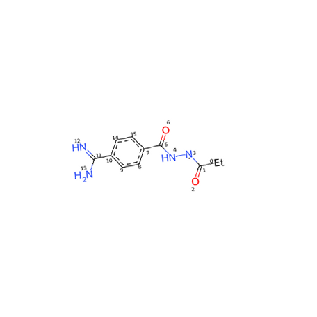 CCC(=O)[N]NC(=O)c1ccc(C(=N)N)cc1